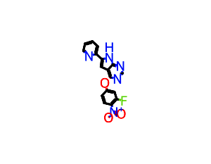 O=[N+]([O-])c1ccc(Oc2ncnc3[nH]c(-c4ccccn4)cc23)cc1F